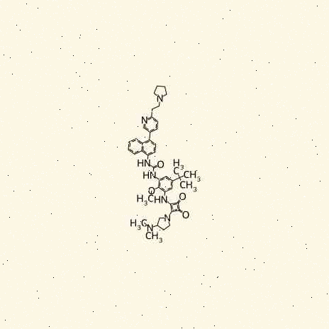 COc1c(NC(=O)Nc2ccc(-c3ccc(CCN4CCCC4)nc3)c3ccccc23)cc(C(C)(C)C)cc1Nc1c(N2CCC(N(C)C)C2)c(=O)c1=O